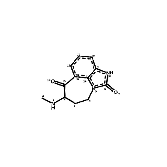 CNC1CCn2c(=O)[nH]c3cccc(c32)C1=O